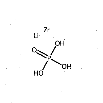 O=P(O)(O)O.[Li].[Zr]